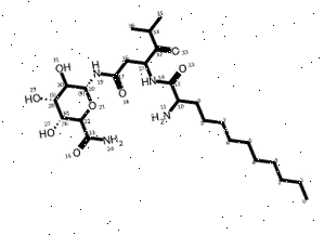 CCCCCCCCCCC(N)C(=O)NC(CC(=O)N[C@@H]1OC(C(N)=O)[C@H](O)[C@H](O)C1O)C(=O)C(C)C